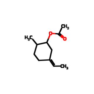 C/C=C1/CCC(C)C(OC(C)=O)C1